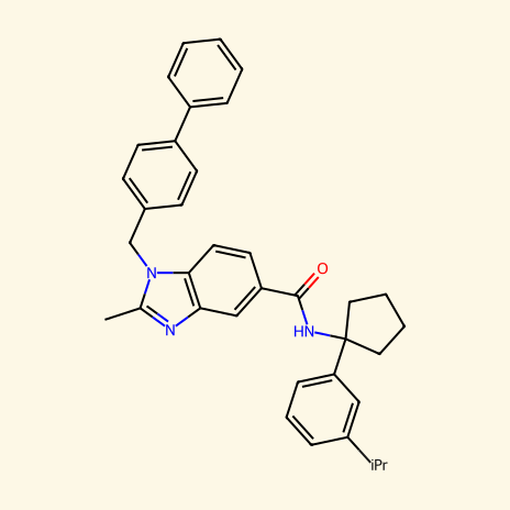 Cc1nc2cc(C(=O)NC3(c4cccc(C(C)C)c4)CCCC3)ccc2n1Cc1ccc(-c2ccccc2)cc1